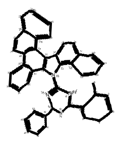 CC1C=CCCC1C1NC(n2c3c4ccccc4ccc3c3c4c5ccccc5ccc4c4ccccc4c32)=NC(c2ccccc2)N1